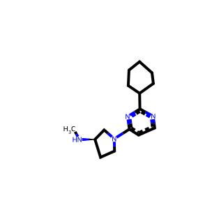 CN[C@@H]1CCN(c2ccnc(C3CCCCC3)n2)C1